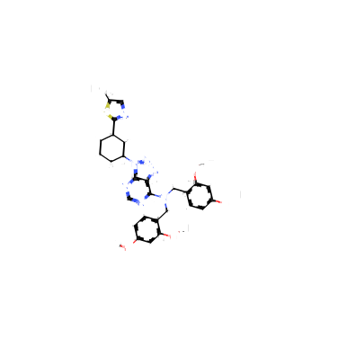 COc1ccc(CN(Cc2ccc(OC)cc2OC)c2ncnc3c2nnn3C2CCCC(c3ncc(C)s3)C2)c(OC)c1